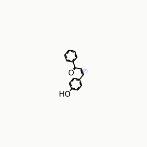 O=C(/C=C\c1ccc(O)cc1)c1ccccc1